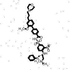 COc1cc(CCCN2CCOCC2)ccc1-c1ccc(C(=O)NS(=O)(=O)c2ccc(N[C@@H](CSc3ccccc3)CN(C)C)c([N+](=O)[O-])c2)cc1